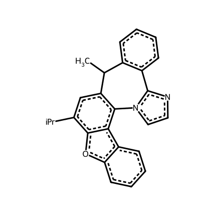 CC(C)c1cc2c(c3c1oc1ccccc13)-n1ccnc1-c1ccccc1C2C